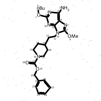 CCCCOc1nc(N)c2nc(OC)n(CCC3CCN(C(=O)OCc4ccccc4)CC3)c2n1